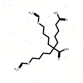 C=COCCCCC(CCCCOC=C)(CCCCC(=O)O)C(=O)O